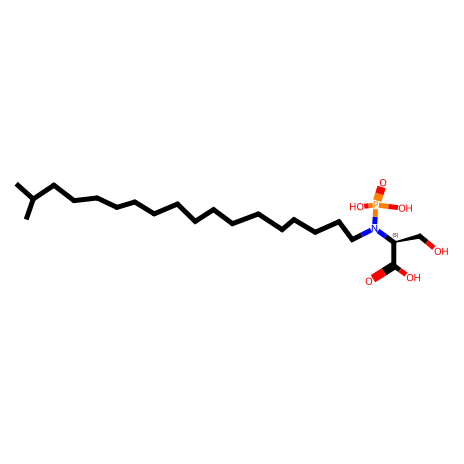 CC(C)CCCCCCCCCCCCCCCCN([C@@H](CO)C(=O)O)P(=O)(O)O